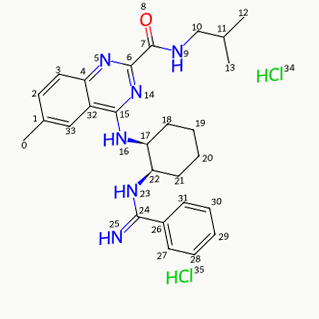 Cc1ccc2nc(C(=O)NCC(C)C)nc(N[C@H]3CCCC[C@H]3NC(=N)c3ccccc3)c2c1.Cl.Cl